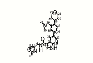 Cc1nc(CNC(=O)c2c[nH]c3ncc(-c4ccc(C5CCOCC5)c(CN(C)C)c4)cc23)no1